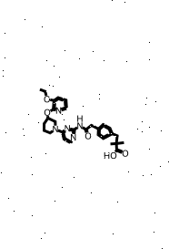 CCOc1cccnc1OC1CCCN(c2ccnc(NC(=O)Cc3ccc(CC(C)(C)C(=O)O)cc3)n2)C1